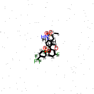 CC[C@@H]1C[C@@H]2[C@@H](CC[C@@]3(S(=O)(=O)c4ccc(C(F)(F)F)cc4)c4c(F)ccc(F)c4OC[C@@H]23)NS1(=O)=O